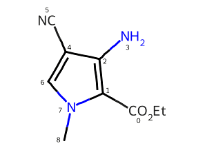 CCOC(=O)c1c(N)c(C#N)cn1C